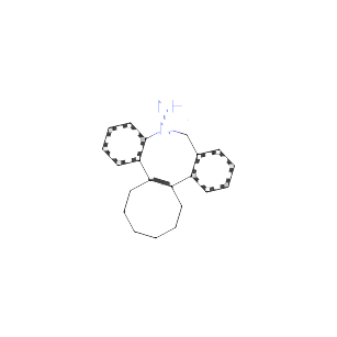 NN1Cc2ccccc2/C2=C(/CCCCCC2)c2ccccc21